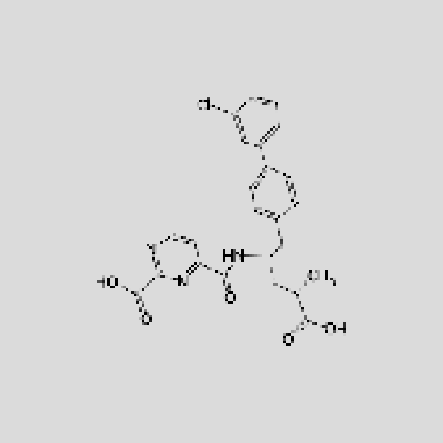 C[C@@H](C[C@@H](Cc1ccc(-c2cccc(Cl)c2)cc1)NC(=O)c1ccnc(C(=O)O)n1)C(=O)O